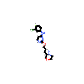 Fc1ccc(Nc2ccnc(OCCCC3COCCN3)n2)cc1Cl